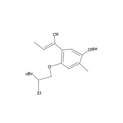 CC=C(C#N)c1cc(OC)c(C)cc1OCC(CC)CCCC